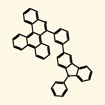 c1ccc(-n2c3ccccc3c3cc(-c4cccc(-c5nc6ccccc6c6c7ccccc7c7ccccc7c56)c4)ccc32)cc1